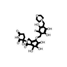 O=C1CCC(O)(N2Cc3c(OCc4c(O)c(O)c(CN5CCOCC5)c(O)c4F)c(O)c(O)c(O)c3C2=O)C(=O)N1